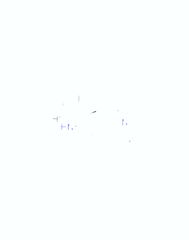 O=C1N[C@H]2C[C@H]2[C@H]1Cc1ccc(Cl)nc1